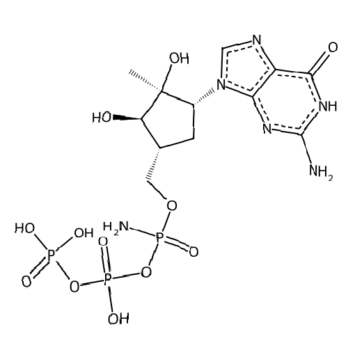 C[C@@]1(O)[C@H](O)[C@@H](COP(N)(=O)OP(=O)(O)OP(=O)(O)O)C[C@H]1n1cnc2c(=O)[nH]c(N)nc21